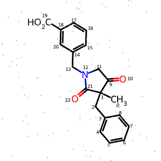 CC1(Cc2ccccc2)C(=O)CN(Cc2cccc(C(=O)O)c2)C1=O